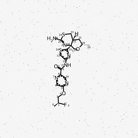 C[C@H](F)COc1cnc(C(=O)Nc2csc([C@]34CO[C@@H](C)C[C@H]3CSC(N)=N4)n2)cn1